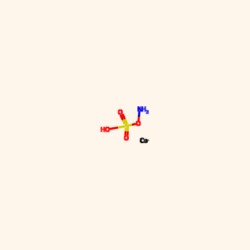 NOS(=O)(=O)O.[Co]